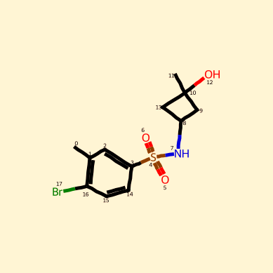 Cc1cc(S(=O)(=O)NC2CC(C)(O)C2)ccc1Br